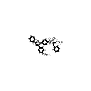 CCCCCc1ccc(-c2cc(C3(Cl)C=CC=CC3)nn2-c2ccc(S(=O)(=O)N(C)C(Cc3ccccc3)C(=O)O)cc2)cc1